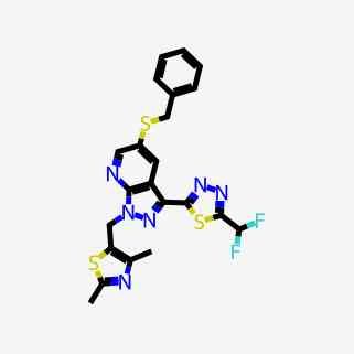 Cc1nc(C)c(Cn2nc(-c3nnc(C(F)F)s3)c3cc(SCc4ccccc4)cnc32)s1